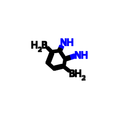 BC1=CC=C(B)C(=N)C1=N